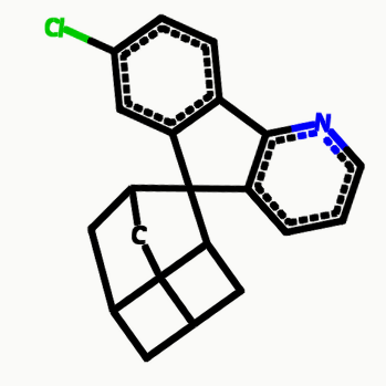 Clc1ccc2c(c1)C1(c3cccnc3-2)C2CC3CC4CC1C34C2